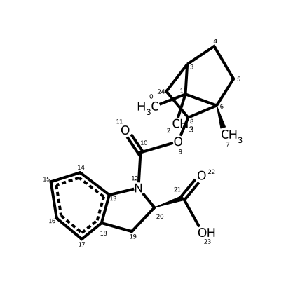 CC1(C)C2CC[C@]1(C)C(OC(=O)N1c3ccccc3C[C@@H]1C(=O)O)C2